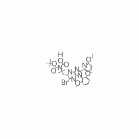 CCOc1cccc(-c2nc3nc(CC(C)(C)N(C(=O)O)C(=O)OC(C)(C)C)c(Br)nc3n2-c2c(OC)cccc2OC)n1